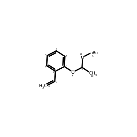 C=Cc1ccccc1OC(C)OCCCC